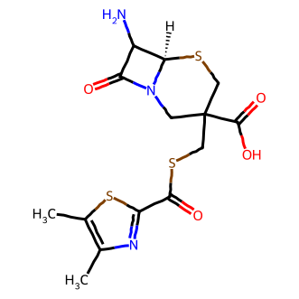 Cc1nc(C(=O)SCC2(C(=O)O)CS[C@@H]3C(N)C(=O)N3C2)sc1C